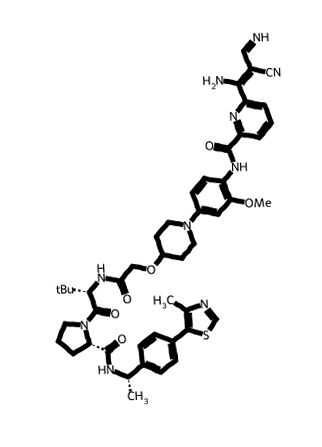 COc1cc(N2CCC(OCC(=O)N[C@H](C(=O)N3CCC[C@H]3C(=O)N[C@@H](C)c3ccc(-c4scnc4C)cc3)C(C)(C)C)CC2)ccc1NC(=O)c1cccc(/C(N)=C(\C#N)C=N)n1